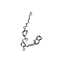 COCCCCCCOc1ccc(C(=O)Oc2ccc(OC)c(/C=N/Nc3ccc4ccccc4n3)c2)cc1